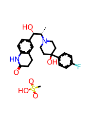 CS(=O)(=O)O.C[C@@H]([C@@H](O)c1ccc2c(c1)CCC(=O)N2)N1CCC(O)(c2ccc(F)cc2)CC1